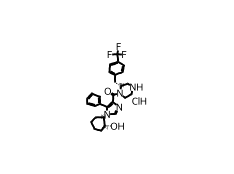 Cl.O=C(c1ncn([C@H]2CCCC[C@H]2O)c1-c1ccccc1)N1CCNC[C@H]1Cc1ccc(C(F)(F)F)cc1